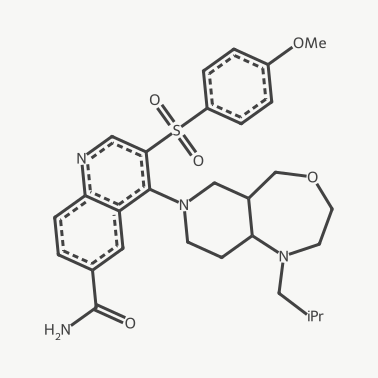 COc1ccc(S(=O)(=O)c2cnc3ccc(C(N)=O)cc3c2N2CCC3C(COCCN3CC(C)C)C2)cc1